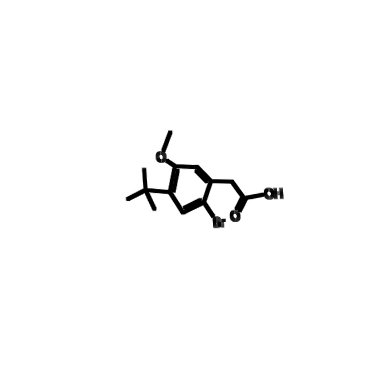 COc1cc(CC(=O)O)c(Br)cc1C(C)(C)C